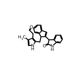 Cc1c[nH]c(CC2C(C3C(=O)Nc4ccccc43)=Cc3ccccc32)c1CC=O